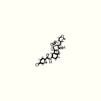 C[C@]1(CC2CCOCC2)C(=N)N[C@](C)(c2cc(NC(=O)c3ccc(Cl)cn3)ccc2F)CS1(=O)=O